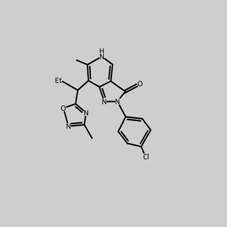 CCC(c1nc(C)no1)c1c2nn(-c3ccc(Cl)cc3)c(=O)c-2c[nH]c1C